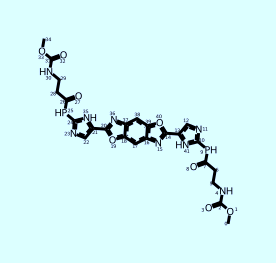 COC(=O)NCCC(=O)Pc1ncc(-c2nc3cc4oc(-c5cnc(PC(=O)CCNC(=O)OC)[nH]5)nc4cc3o2)[nH]1